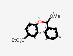 CCOC(=O)c1ccc(OC(OC)c2ccccc2)cc1